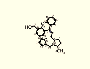 CC1CCC(C/C=C2/c3ccccc3Oc3c(CO)cccc32)N1Cc1ccco1